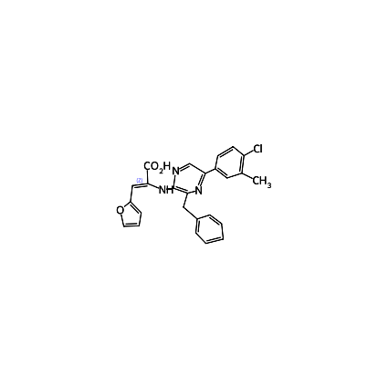 Cc1cc(-c2cnc(N/C(=C\c3ccco3)C(=O)O)c(Cc3ccccc3)n2)ccc1Cl